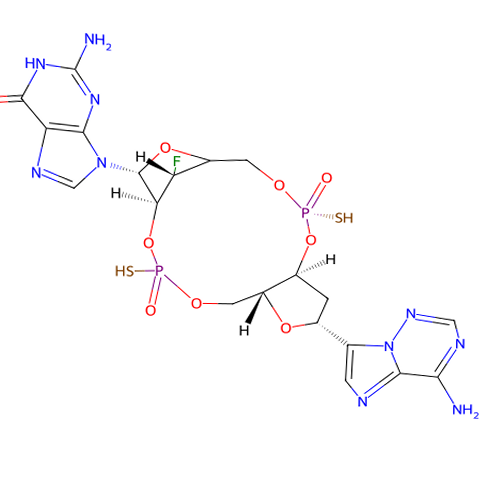 Nc1nc2c(ncn2[C@@H]2OC3CO[P@](=O)(S)O[C@H]4C[C@H](c5cnc6c(N)ncnn56)O[C@@H]4COP(=O)(S)O[C@@H]2[C@@H]3F)c(=O)[nH]1